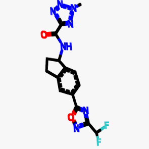 Cn1nnc(C(=O)NC2CCc3cc(-c4nc(C(F)F)no4)ccc32)n1